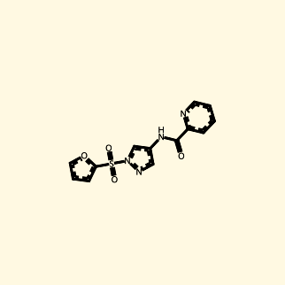 O=C(Nc1cnn(S(=O)(=O)c2ccco2)c1)c1ccccn1